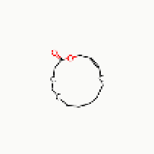 O=C1CCCCCCCCCC/C=C\CO1